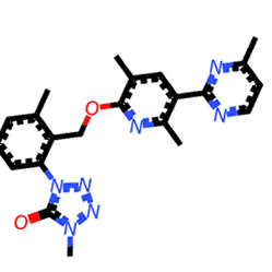 Cc1ccnc(-c2cc(C)c(OCc3c(C)cccc3-n3nnn(C)c3=O)nc2C)n1